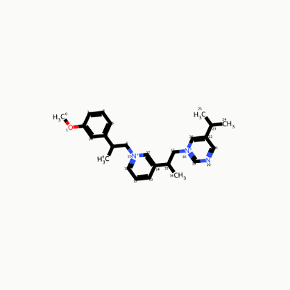 COc1cccc(C(C)C[n+]2cccc(C(C)C[n+]3cncc(C(C)C)c3)c2)c1